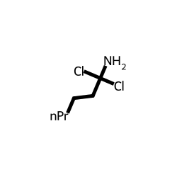 CCCCCC(N)(Cl)Cl